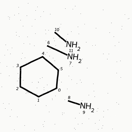 C1CCCCC1.CN.CN.CN